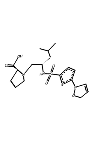 CC(C)C[C@@H](CN1CCC[C@H]1C(=O)O)NS(=O)(=O)c1ccc(N2C=CCO2)s1